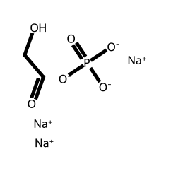 O=CCO.O=P([O-])([O-])[O-].[Na+].[Na+].[Na+]